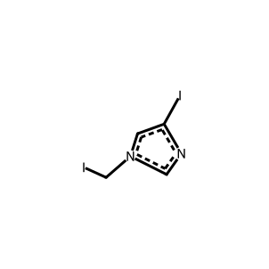 ICn1cnc(I)c1